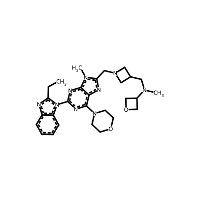 CCc1nc2ccccc2n1-c1nc(N2CCOCC2)c2nc(CN3CC(CN(C)C4COC4)C3)n(C)c2n1